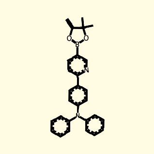 C=C1OB(c2ccc(-c3ccc(N(c4ccccc4)c4ccccc4)cc3)nc2)OC1(C)C